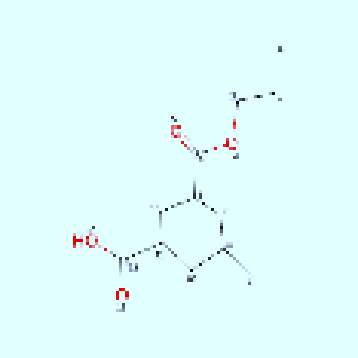 CCCOC(=O)C1CC(C)CC(C(=O)O)C1